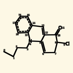 CCCCN1C2=CCC(Cl)C(=O)C2=Cc2ccccc21